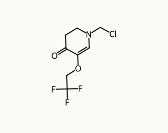 O=C1CCN(CCl)C=C1OCC(F)(F)F